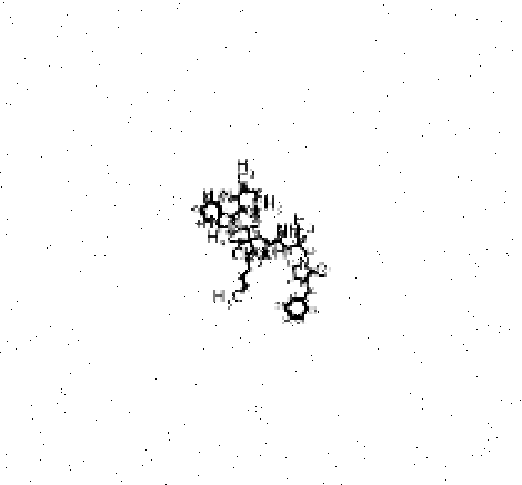 CCCCCC(=O)C(CC(O)C(N)CC(C)CN1CC[C@@H](Cc2ccccc2)C1=O)(C(=O)NC(C(=O)[C@@H](N)[C@@H](C)CC)c1ccccn1)C(C)C